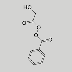 O=C(CO)OOC(=O)c1ccccc1